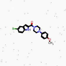 COc1ccc(N2CCN(C(=O)c3cc4cc(Br)ccc4[nH]3)CC2)cc1